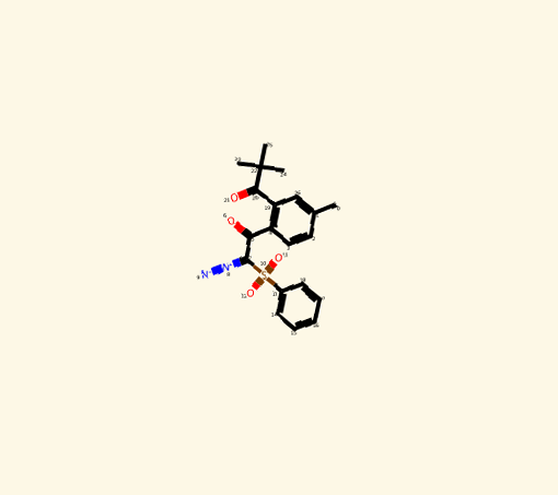 Cc1ccc(C(=O)C(=[N+]=[N-])S(=O)(=O)c2ccccc2)c(C(=O)C(C)(C)C)c1